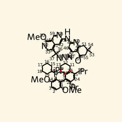 COc1ccc(OC)c(P(C2CCCCC2)C2CCCCC2)c1-c1c(C(C)C)cc(C(C)C)cc1C(C)C.COc1ncc(C(C)(C)N=[N+]=[N-])c2cc(Nc3ccc4c(n3)CC(C)(C)CC4=O)ncc12